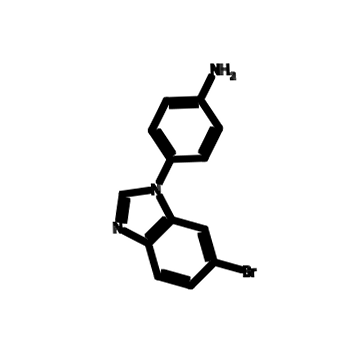 Nc1ccc(-n2cnc3ccc(Br)cc32)cc1